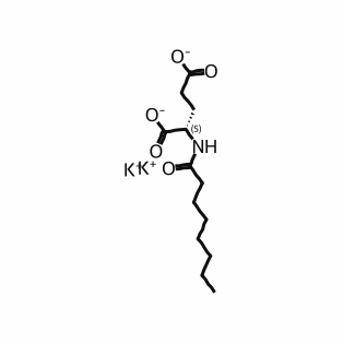 CCCCCCCC(=O)N[C@@H](CCC(=O)[O-])C(=O)[O-].[K+].[K+]